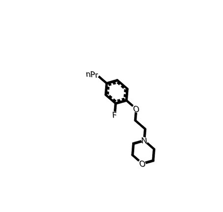 CCCc1ccc(OCCN2CCOCC2)c(F)c1